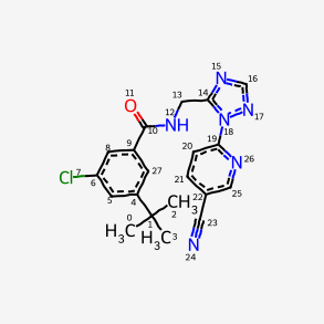 CC(C)(C)c1cc(Cl)cc(C(=O)NCc2ncnn2-c2ccc(C#N)cn2)c1